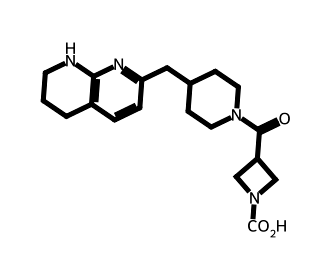 O=C(O)N1CC(C(=O)N2CCC(Cc3ccc4c(n3)NCCC4)CC2)C1